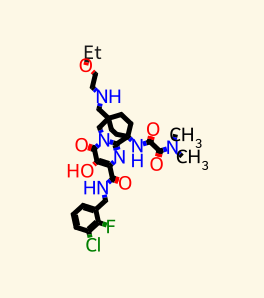 CCOCCNCC12CCC(NC(=O)C(=O)N(C)C)(CC1)c1nc(C(=O)NCc3cccc(Cl)c3F)c(O)c(=O)n1C2